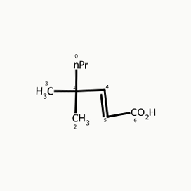 CCCC(C)(C)C=CC(=O)O